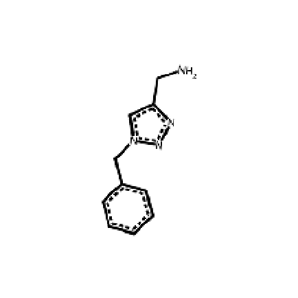 NCc1cn(Cc2ccccc2)nn1